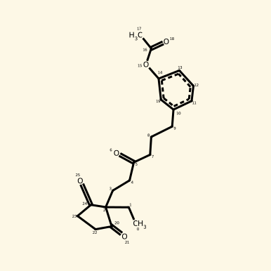 CCC1(CCC(=O)CCCc2cccc(OC(C)=O)c2)C(=O)CCC1=O